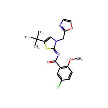 COc1ccc(Cl)cc1C(=O)/N=c1\sc(C(C)(C)C)cn1Cc1ncco1